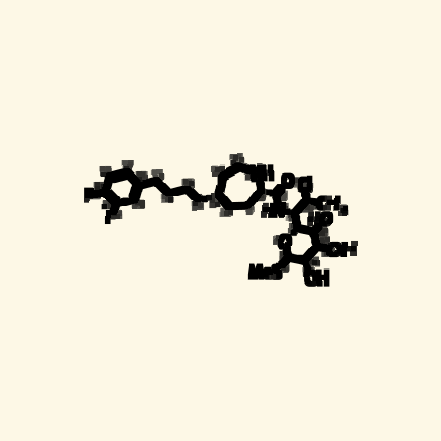 CSC1O[C@H]([C@H](NC(=O)[C@@H]2CC[C@H](CCCCc3ccc(F)c(F)c3)CCN2)[C@H](C)Cl)C(O)C(O)[C@H]1O